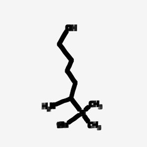 CC(C)(C)[Si](C)(C)C(N)CCCCO